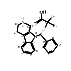 O=C(O)C(F)(F)F.c1ccc(Cn2c3c(c4ccccc42)CCNC3)cc1